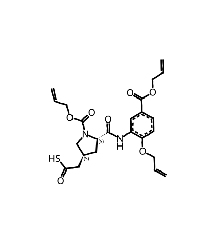 C=CCOC(=O)c1ccc(OCC=C)c(NC(=O)[C@@H]2C[C@@H](CC(=O)S)CN2C(=O)OCC=C)c1